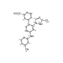 CCOC(=O)c1cncc(-c2cnc(Nc3cccc(C#N)c3)nc2N2C=CC(C(F)(F)F)N2)c1